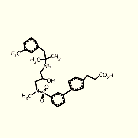 CN(CC(O)CNC(C)(C)Cc1cccc(C(F)(F)F)c1)S(=O)(=O)c1cccc(-c2ccc(CCC(=O)O)cc2)c1